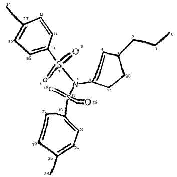 CCCC1C=C(N(S(=O)(=O)c2ccc(C)cc2)S(=O)(=O)c2ccc(C)cc2)CC1